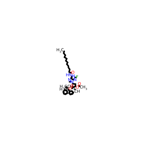 C#C[C@]1(CO[Si](c2ccccc2)(c2ccccc2)C(C)(C)C)O[C@@H](n2cnc3c(NC(=O)CCCCCCCCCCCCC)nc(F)nc32)C[C@@H]1OC(C)=O